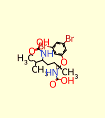 CC(C)C(CC[C@@](C)(NC(=O)O)Oc1cc(Br)cc(Br)c1)NC(=O)O